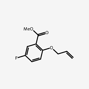 C=CCOc1ccc(F)cc1C(=O)OC